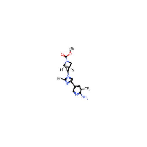 CC(C)c1nc(-c2cnc(N)c(C(F)(F)F)c2)cn1C1[C@H]2CN(C(=O)OC(C)(C)C)C[C@@H]12